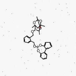 CC12CC3(C)OC(C)(CC(C)(O1)P3OCc1ccccc1COp1oc3ccccc3c3ccccc3o1)O2